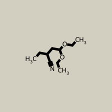 CCOC(CC(C#N)CC)OCC